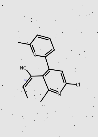 C/C=C(/C#N)c1c(-c2cccc(C)n2)cc(Cl)nc1C